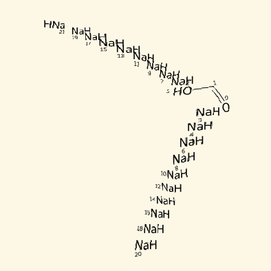 O=CO.[NaH].[NaH].[NaH].[NaH].[NaH].[NaH].[NaH].[NaH].[NaH].[NaH].[NaH].[NaH].[NaH].[NaH].[NaH].[NaH].[NaH].[NaH].[NaH]